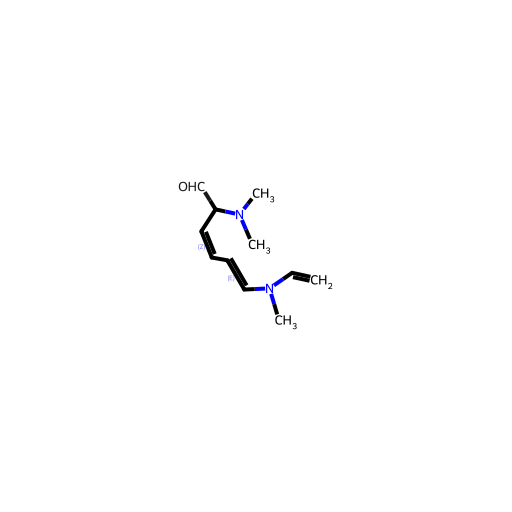 C=CN(C)/C=C/C=C\C(C=O)N(C)C